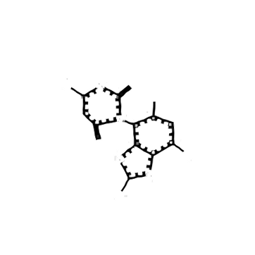 O=c1cc(C(F)(F)F)[nH]c(=O)n1-c1c(F)cc(Cl)c2nc(C(F)(F)F)[nH]c12